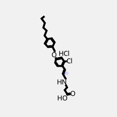 CCCCCCc1ccc(COc2ccc(/C=C/CNCCC(=O)O)c(Cl)c2)cc1.Cl